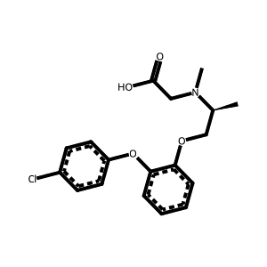 C[C@@H](COc1ccccc1Oc1ccc(Cl)cc1)N(C)CC(=O)O